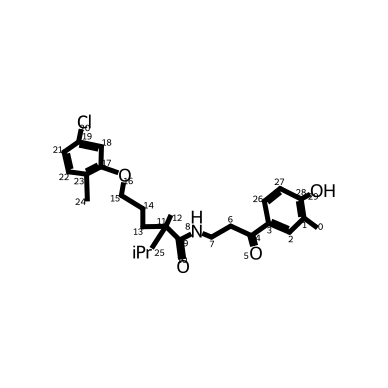 Cc1cc(C(=O)CCNC(=O)C(C)(CCCOc2cc(Cl)ccc2C)C(C)C)ccc1O